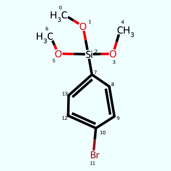 CO[Si](OC)(OC)c1ccc(Br)cc1